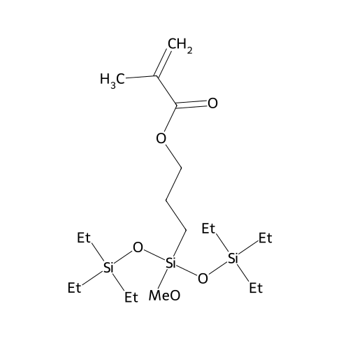 C=C(C)C(=O)OCCC[Si](OC)(O[Si](CC)(CC)CC)O[Si](CC)(CC)CC